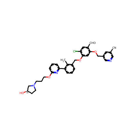 Cc1c(COc2cc(OCc3cncc(C#N)c3)c(C=O)cc2Cl)cccc1-c1cccc(OCCCN2CC[C@@H](O)C2)n1